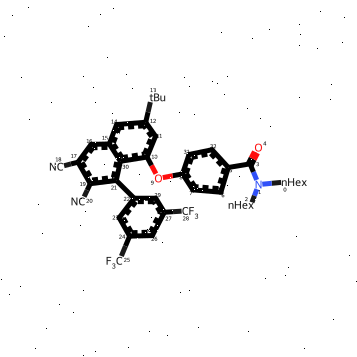 CCCCCCN(CCCCCC)C(=O)c1ccc(Oc2cc(C(C)(C)C)cc3cc(C#N)c(C#N)c(-c4cc(C(F)(F)F)cc(C(F)(F)F)c4)c23)cc1